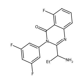 CCC(N)c1nc2cccc(F)c2c(=O)n1-c1cc(F)cc(F)c1